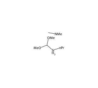 CCC[SiH2]C(OC)OC.CNC